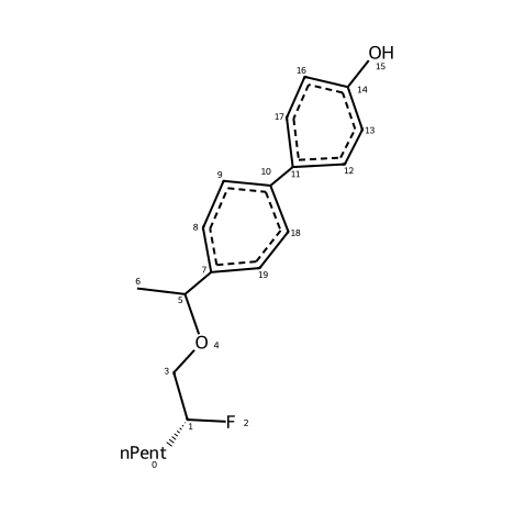 CCCCC[C@@H](F)COC(C)c1ccc(-c2ccc(O)cc2)cc1